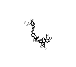 Cn1nc(C2CCC(=O)NC2=O)c2ccc(NC(=O)CN3CCC(CCCOc4ccc(Br)c(C(F)(F)F)c4)CC3)cc21